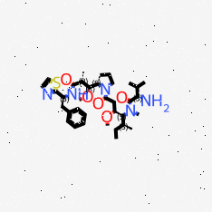 CC[C@H](C)[C@@H](C(CC(=O)N1CCC[C@H]1[C@H](OC)[C@@H](C)C(=O)N[C@@H](Cc1ccccc1)c1nccs1)OC)N(C)C(=O)[C@@H](N)C(C)C